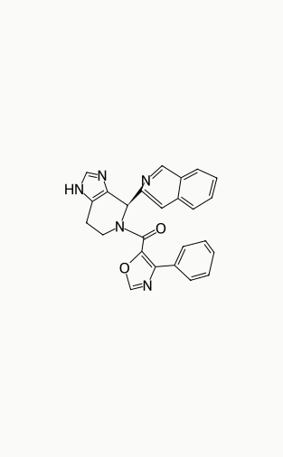 O=C(c1ocnc1-c1ccccc1)N1CCc2[nH]cnc2[C@H]1c1cc2ccccc2cn1